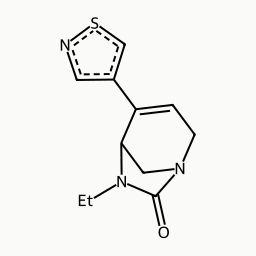 CCN1C(=O)N2CC=C(c3cnsc3)C1C2